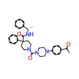 CC(=O)c1ccc(N2CCN(C(=O)N3CCC(C(=O)N[C@@H](C)c4ccccc4)(c4ccccc4)CC3)CC2)cc1